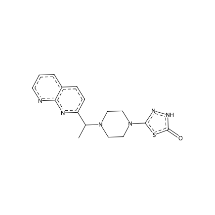 CC(c1ccc2cccnc2n1)N1CCN(c2n[nH]c(=O)s2)CC1